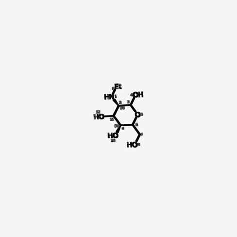 CCN[C@H]1C(O)OC(CO)[C@@H](O)C1O